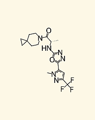 C[C@H](Nc1nnc(-c2cc(C(F)(F)F)nn2C)o1)C(=O)N1CCC2(CC1)CC2